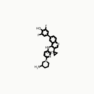 NC1CCCN(c2ccc(Nc3c(C4(C=O)CC4)cnc4ccc(-c5cc(F)c(O)c(F)c5)cc34)cn2)C1